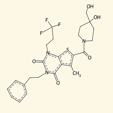 Cc1c(C(=O)N2CCC(O)(CO)CC2)sc2c1c(=O)n(CCc1ccccc1)c(=O)n2CCC(F)(F)F